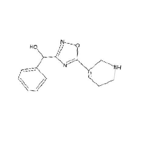 OC(c1ccccc1)c1noc(C2=CCCNC2)n1